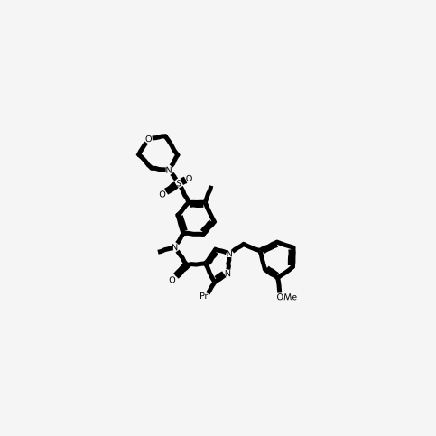 COc1cccc(Cn2cc(C(=O)N(C)c3ccc(C)c(S(=O)(=O)N4CCOCC4)c3)c(C(C)C)n2)c1